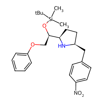 CC(C)(C)[Si](C)(C)O[C@H](COc1ccccc1)[C@H]1CC[C@@H](Cc2ccc([N+](=O)[O-])cc2)N1